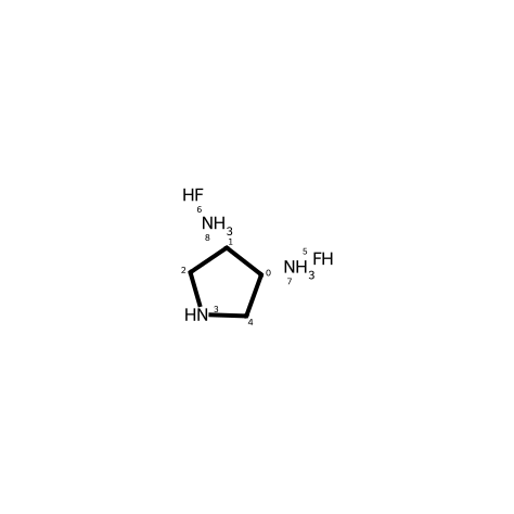 C1CCNC1.F.F.N.N